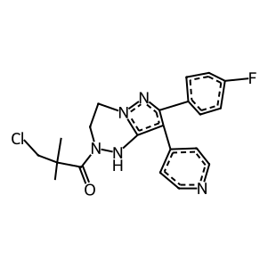 CC(C)(CCl)C(=O)N1CCn2nc(-c3ccc(F)cc3)c(-c3ccncc3)c2N1